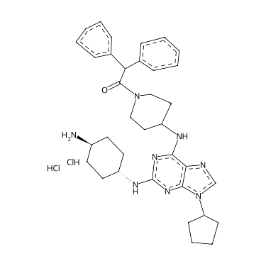 Cl.Cl.N[C@H]1CC[C@H](Nc2nc(NC3CCN(C(=O)C(c4ccccc4)c4ccccc4)CC3)c3ncn(C4CCCC4)c3n2)CC1